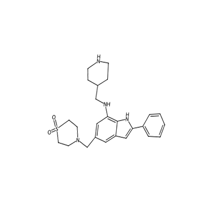 O=S1(=O)CCN(Cc2cc(NCC3CCNCC3)c3[nH]c(-c4ccccc4)cc3c2)CC1